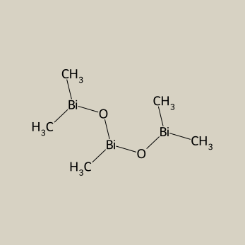 [CH3][Bi]([CH3])[O][Bi]([CH3])[O][Bi]([CH3])[CH3]